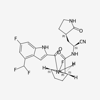 N#C[C@H](C[C@H]1CCNC1=O)NC(=O)[C@H]1[C@@H]2CC[C@@H](CC2(F)F)N1C(=O)c1cc2c(C(F)F)cc(F)cc2[nH]1